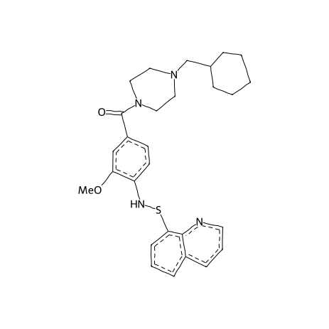 COc1cc(C(=O)N2CCN(CC3CCCCC3)CC2)ccc1NSc1cccc2cccnc12